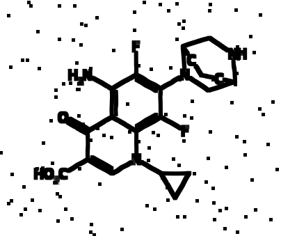 Nc1c(F)c(N2CC3CCCC2CN3)c(F)c2c1c(=O)c(C(=O)O)cn2C1CC1